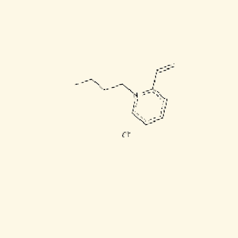 C=Cc1cccc[n+]1CCCC.[Cl-]